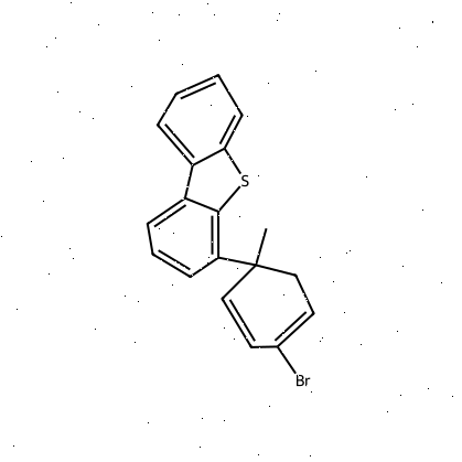 CC1(c2cccc3c2sc2ccccc23)C=CC(Br)=CC1